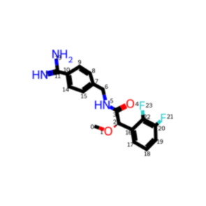 CO[C@H](C(=O)NCc1ccc(C(=N)N)cc1)c1cccc(F)c1F